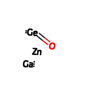 [Ga].[O]=[Ge].[Zn]